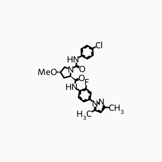 CO[C@@H]1C[C@H](C(=O)Nc2ccc(-n3nc(C)cc3C)cc2F)N(C(=O)Nc2ccc(Cl)cc2)C1